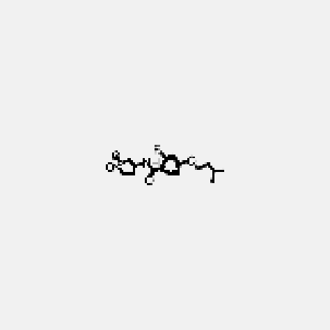 CC(C)CCOc1ccc(C(=O)NC2CCS(=O)(=O)C2)c(F)c1